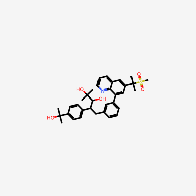 CC(C)(O)c1ccc(C(Cc2cccc(-c3cc(C(C)(C)S(C)(=O)=O)cc4cccnc34)c2)C(O)C(C)(C)O)cc1